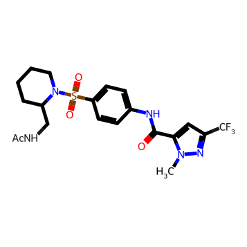 CC(=O)NCC1CCCCN1S(=O)(=O)c1ccc(NC(=O)c2cc(C(F)(F)F)nn2C)cc1